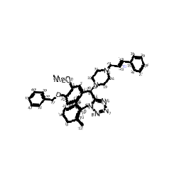 COc1cc([C@H](c2nnnn2-c2c(C)cccc2C)N2CCN(C/C=C/c3ccccc3)CC2)ccc1OCc1ccccc1